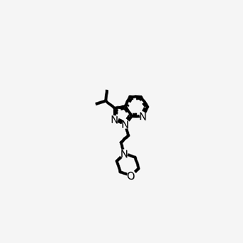 CC(C)c1nn(CCN2CCOCC2)c2ncccc12